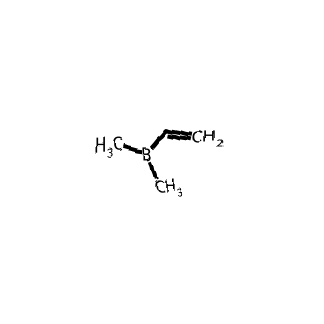 C=CB(C)C